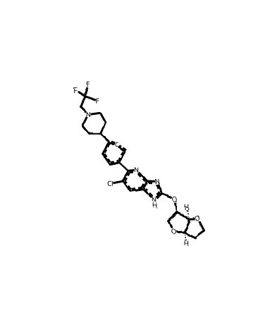 FC(F)(F)CN1CCC(c2ccc(-c3nc4nc(O[C@@H]5CO[C@@H]6CCO[C@@H]65)[nH]c4cc3Cl)cc2)CC1